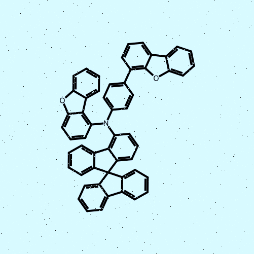 c1ccc2c(c1)-c1ccccc1C21c2ccccc2-c2c(N(c3ccc(-c4cccc5c4oc4ccccc45)cc3)c3cccc4oc5ccccc5c34)cccc21